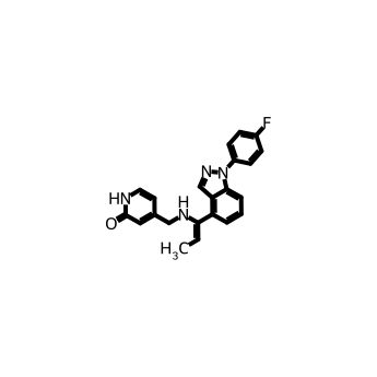 C/C=C(\NCc1cc[nH]c(=O)c1)c1cccc2c1cnn2-c1ccc(F)cc1